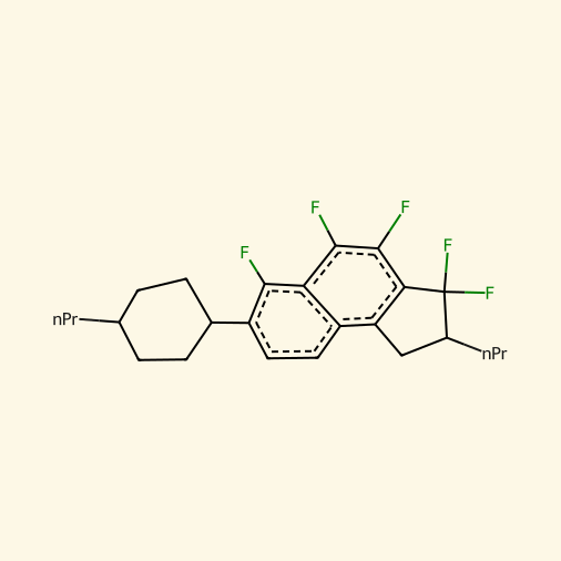 CCCC1CCC(c2ccc3c4c(c(F)c(F)c3c2F)C(F)(F)C(CCC)C4)CC1